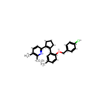 CCOC(=O)c1nc(C2=C(c3cc(C(F)(F)F)ccc3OCc3ccc(Cl)cc3)CCC2)ccc1C